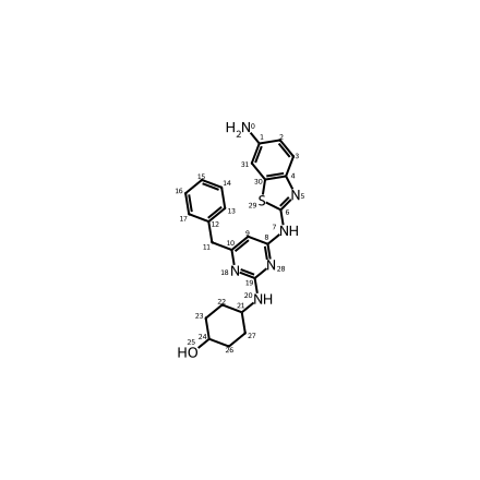 Nc1ccc2nc(Nc3cc(Cc4ccccc4)nc(NC4CCC(O)CC4)n3)sc2c1